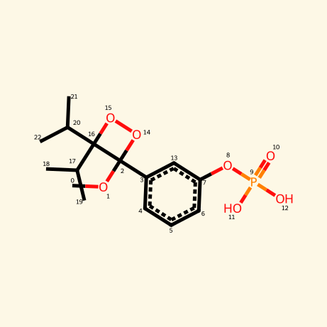 COC1(c2cccc(OP(=O)(O)O)c2)OOC1(C(C)C)C(C)C